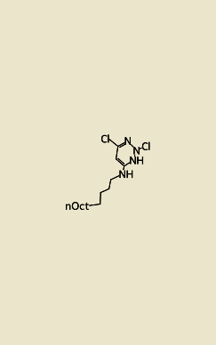 CCCCCCCCCCCCNC1=CC(Cl)=NN(Cl)N1